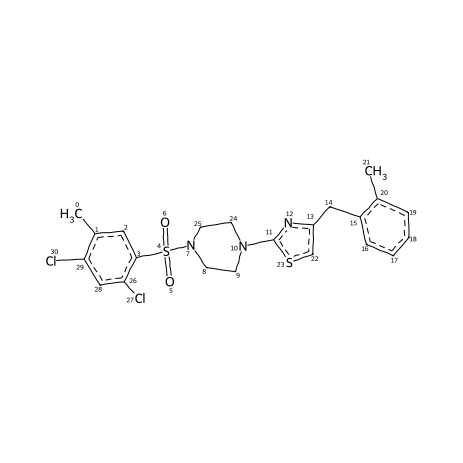 Cc1cc(S(=O)(=O)N2CCN(c3nc(Cc4ccccc4C)cs3)CC2)c(Cl)cc1Cl